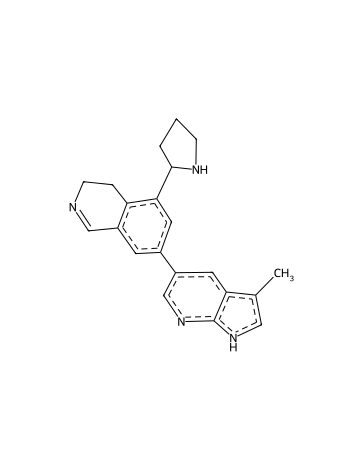 Cc1c[nH]c2ncc(-c3cc4c(c(C5CCCN5)c3)CCN=C4)cc12